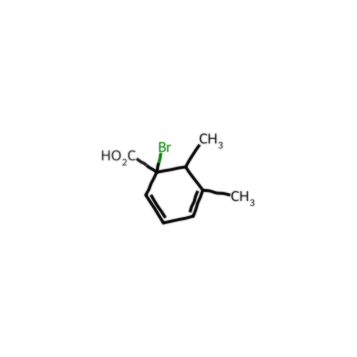 CC1=CC=CC(Br)(C(=O)O)C1C